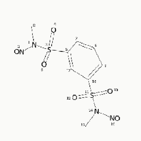 CN(N=O)S(=O)(=O)c1cccc(S(=O)(=O)N(C)N=O)c1